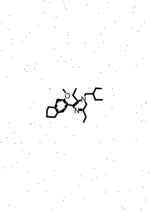 CCC1=NC(c2cc3c(cc2OC)CCCC3)=C(CC)N(CC(CC)CC)C1